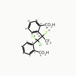 O=C(O)c1ccccc1C(F)(F)C(F)(c1ccccc1C(=O)O)C(F)(F)F